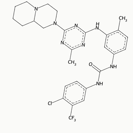 Cc1nc(Nc2cc(NC(=O)Nc3ccc(Cl)c(C(F)(F)F)c3)ccc2C)nc(N2CCN3CCCCC3C2)n1